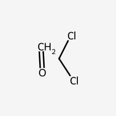 C=O.ClCCl